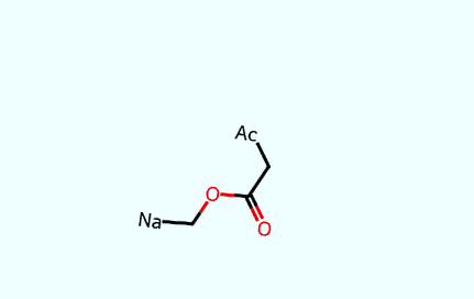 CC(=O)CC(=O)O[CH2][Na]